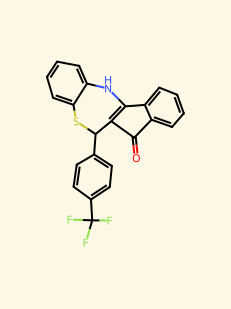 O=C1C2=C(Nc3ccccc3SC2c2ccc(C(F)(F)F)cc2)c2ccccc21